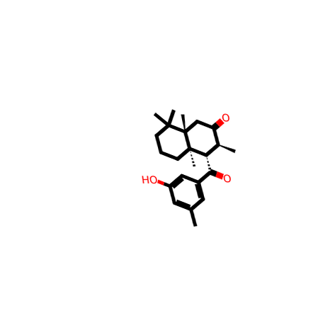 Cc1cc(O)cc(C(=O)[C@H]2[C@H](C)C(=O)C[C@@]3(C)C(C)(C)CCC[C@]23C)c1